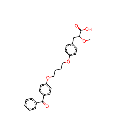 COC(Cc1ccc(OCCCCOc2ccc(C(=O)c3ccccc3)cc2)cc1)C(=O)O